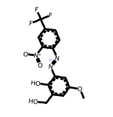 COc1cc(CO)c(O)c(/N=N/c2ccc(C(F)(F)F)cc2[N+](=O)[O-])c1